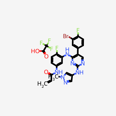 C=CC(=O)Nc1ccc(F)c(Nc2nc(Nc3cnn(C)c3)ncc2-c2ccc(F)c(Br)c2)c1.O=C(O)C(F)(F)F